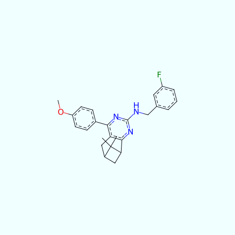 COc1ccc(-c2nc(NCc3cccc(F)c3)nc3c2CC2CC3C2(C)C)cc1